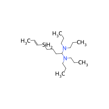 CC=C[SiH2]CCCC(N(CCC)CCC)N(CCC)CCC